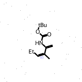 C=C(NC(=O)OC(C)(C)C)/C(C)=C\CC